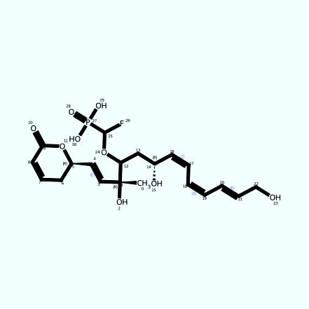 C[C@@](O)(/C=C/[C@H]1CC=CC(=O)O1)C(C[C@@H](O)\C=C/C=C\C=C\CO)OC(F)P(=O)(O)O